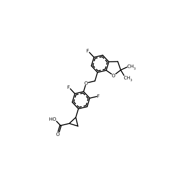 CC1(C)Cc2cc(F)cc(COc3c(F)cc(C4CC4C(=O)O)cc3F)c2O1